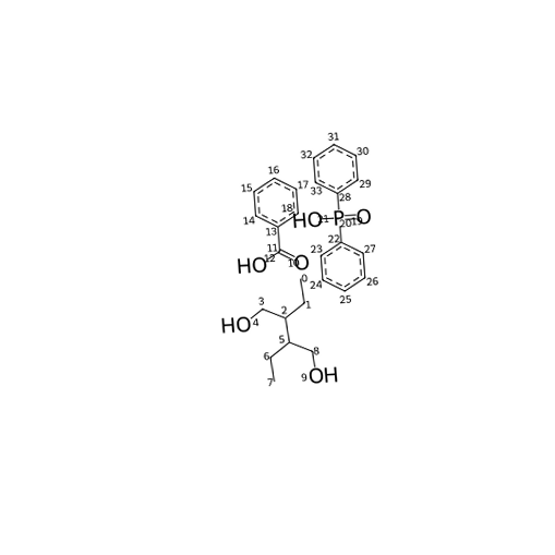 CCC(CO)C(CC)CO.O=C(O)c1ccccc1.O=P(O)(c1ccccc1)c1ccccc1